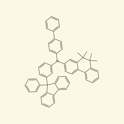 CC1(C)c2ccccc2-c2ccc(N(c3ccc(-c4ccccc4)cc3)c3cccc(C4(c5ccccc5)c5ccccc5-c5ccccc54)c3)cc2C1(C)C